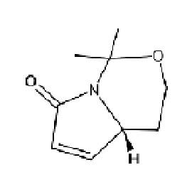 CC1(C)OCC[C@@H]2C=CC(=O)N21